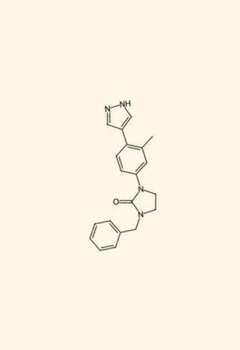 Cc1cc(N2CCN(Cc3ccccc3)C2=O)ccc1-c1cn[nH]c1